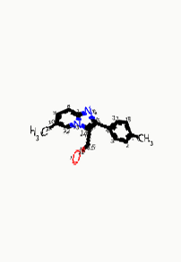 Cc1ccc(-c2nc3ccc(C)cn3c2C[O])cc1